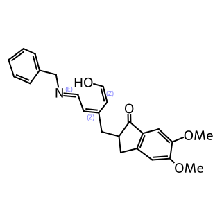 COc1cc2c(cc1OC)C(=O)C(CC(/C=C\O)=C/C=N/Cc1ccccc1)C2